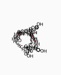 C[C@@H]1NC(=O)[C@@H]2CCCN2C(=O)[C@H](CC(N)=O)NC(=O)[C@@H]2CSC(C)(C)C[C@H](N)C(=O)N[C@H]3CSSC[C@H](NC1=O)C(=O)N[C@@H]([C@@H](C)O)C(=O)NCC(=O)N[C@H](C(=O)N[C@@H](Cc1ccc(O)cc1)C(=O)O)CSSC[C@H](NC(=O)[C@H](Cc1ccc(O)cc1)NC(=O)[C@H](CCC(=O)O)NC3=O)C(=O)N2